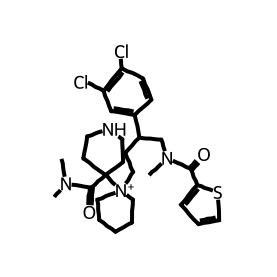 CN(C)C(=O)C1([N+]2(CCC(CN(C)C(=O)c3cccs3)c3ccc(Cl)c(Cl)c3)CCCCC2)CCNCC1